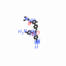 CCN(CC)CCNC(=O)c1ccc(C)c(-c2ccc(C[C@H](NC(=O)C3CCC(CN)CC3)C(=O)Nc3ccc(-c4nn[nH]n4)cc3)cc2)c1